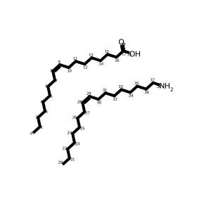 CCCCCCCC/C=C\CCCCCCCC(=O)O.CCCCCCCC/C=C\CCCCCCCCN